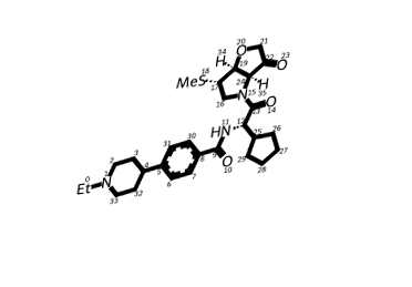 CCN1CCC(c2ccc(C(=O)N[C@H](C(=O)N3C[C@H](SC)[C@H]4OCC(=O)[C@H]43)C3CCCC3)cc2)CC1